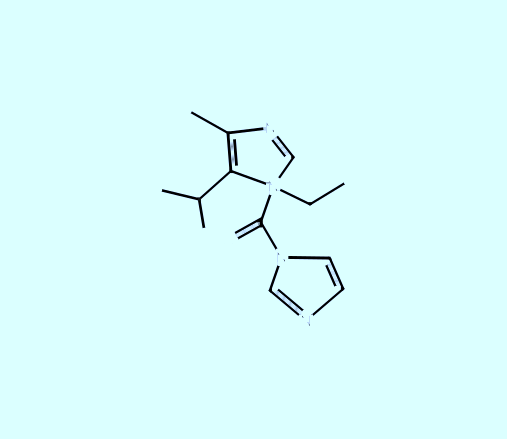 CC[N+]1(C(=O)n2ccnc2)C=NC(C)=C1C(C)C